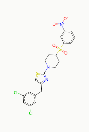 O=[N+]([O-])c1cccc(S(=O)(=O)C2CCN(c3nc(Cc4cc(Cl)cc(Cl)c4)cs3)CC2)c1